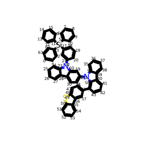 c1ccc([Si](c2ccccc2)(c2ccccc2)c2cccc(-n3c4ccccc4c4ccc(-n5c6ccccc6c6cccc(-c7ccc8sc9ccccc9c8c7)c65)cc43)c2)cc1